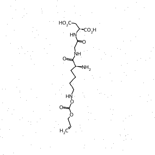 C=CCOC(=O)ONCCCC[C@H](N)C(=O)NCC(=O)N[C@@H](CC(=O)O)C(=O)O